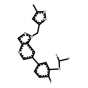 Cc1cc(Cn2ncc3ncc(-c4ccc(F)c(OC(F)F)c4)cc32)no1